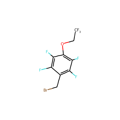 Fc1c(F)c(OCC(F)(F)F)c(F)c(F)c1CBr